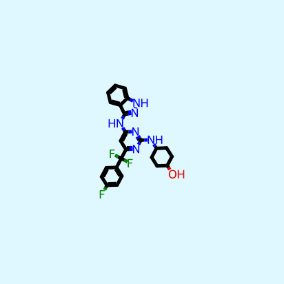 OC1CCC(Nc2nc(Nc3n[nH]c4ccccc34)cc(C(F)(F)c3ccc(F)cc3)n2)CC1